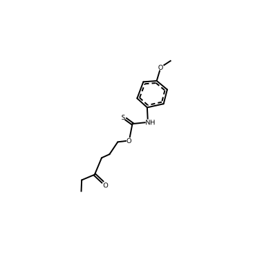 CCC(=O)CCCOC(=S)Nc1ccc(OC)cc1